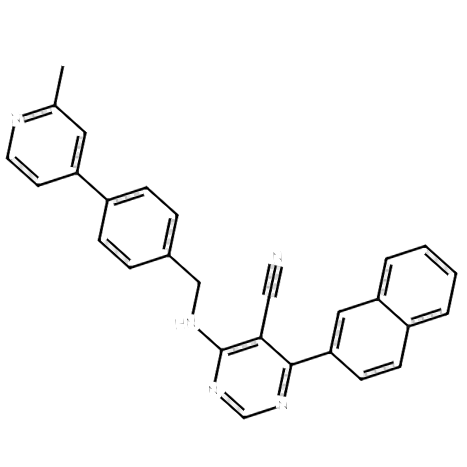 Cc1cc(-c2ccc(CNc3ncnc(-c4ccc5ccccc5c4)c3C#N)cc2)ccn1